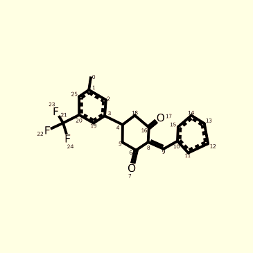 Cc1cc(C2CC(=O)C(=Cc3ccccc3)C(=O)C2)cc(C(F)(F)F)c1